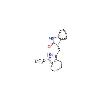 CCOC(=O)c1[nH]c(C=C2C(=O)Nc3ccccc32)c2c1CCCC2